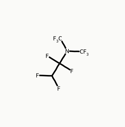 FC(F)C(F)(F)N(C(F)(F)F)C(F)(F)F